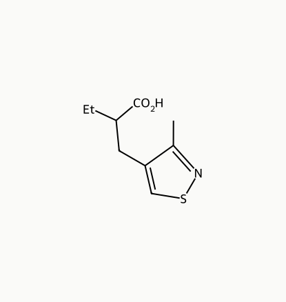 CCC(Cc1csnc1C)C(=O)O